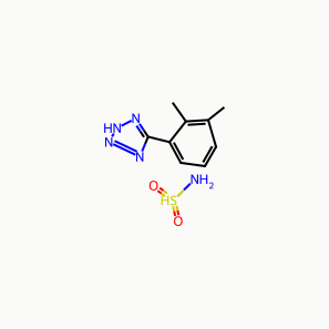 Cc1cccc(-c2nn[nH]n2)c1C.N[SH](=O)=O